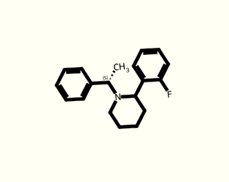 C[C@@H](c1ccccc1)N1CCCCC1c1ccccc1F